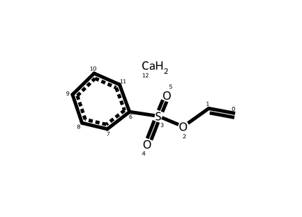 C=COS(=O)(=O)c1ccccc1.[CaH2]